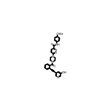 COc1ccc(NC(=O)c2ccc(N3CCN(C(=O)c4ccccc4C#Cc4cncc(O)c4)CC3)nn2)cc1